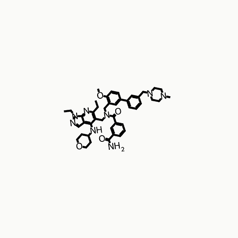 CCc1nc2c(cnn2CC)c(NC2CCOCC2)c1CN(Cc1cc(-c2cccc(CN3CCN(C)CC3)c2)ccc1OC)C(=O)c1cccc(C(N)=O)c1